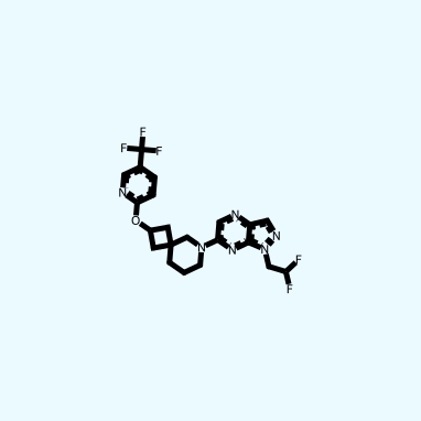 FC(F)Cn1ncc2ncc(N3CCCC4(CC(Oc5ccc(C(F)(F)F)cn5)C4)C3)nc21